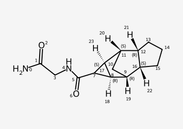 NC(=O)CNC(=O)C1[C@@H]2[C@@H]3C[C@@H]([C@@H]4CCC[C@@H]43)[C@H]12